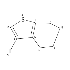 Ic1csc2c1CCCC2